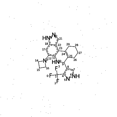 FC(F)(F)c1n[nH]cc1C1Nc2c(N3CCC3)cc3[nH]ncc3c2C2=C1CCCC2